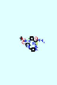 CC(C)(C)OC(=O)NC1CCN(Cc2ccc3ncn(-c4nc(-c5cccc(Cl)c5)c(C(N)=O)s4)c3c2)CC1